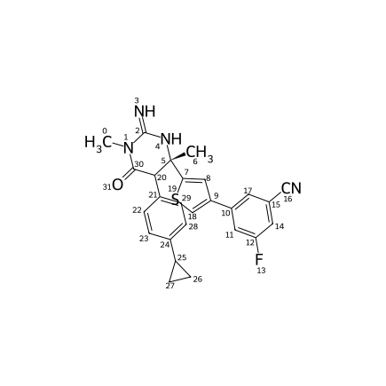 CN1C(=N)N[C@](C)(c2cc(-c3cc(F)cc(C#N)c3)cs2)C(c2ccc(C3CC3)cc2)C1=O